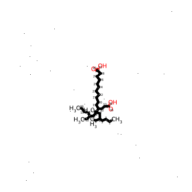 CCCCC(CC)CC(C)(CC(CC)CCCC)C(CCCCCCCCCCC(=O)O)CCC(=O)O